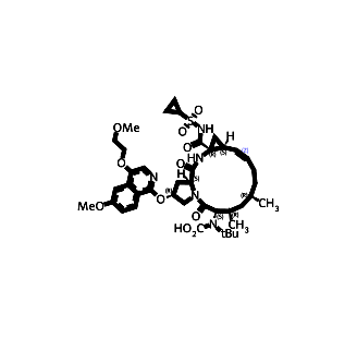 COCCOc1cnc(O[C@@H]2C[C@H]3C(=O)N[C@]4(C(=O)NS(=O)(=O)C5CC5)C[C@H]4/C=C\CC[C@@H](C)C[C@@H](C)[C@H](N(C(=O)O)C(C)(C)C)C(=O)N3C2)c2ccc(OC)cc12